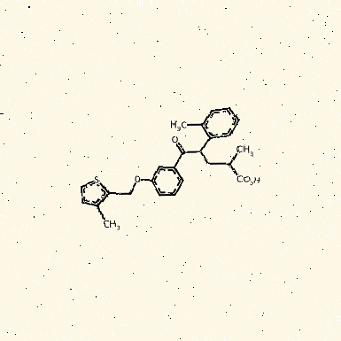 Cc1ccccc1C(CC(C)C(=O)O)C(=O)c1cccc(OCc2sccc2C)c1